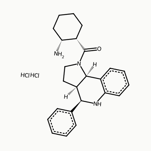 Cl.Cl.N[C@@H]1CCCC[C@@H]1C(=O)N1CC[C@@H]2[C@H](c3ccccc3)Nc3ccccc3[C@@H]21